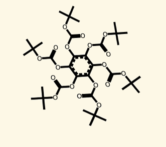 CC(C)(C)OC(=O)Oc1c(OC(=O)OC(C)(C)C)c(OC(=O)OC(C)(C)C)c(OC(=O)OC(C)(C)C)c(OC(=O)OC(C)(C)C)c1OC(=O)OC(C)(C)C